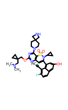 C#Cc1c(F)ccc2cc(O)cc(C3=C(F)c4nc(OCC5(CN(C)C)CC5)nc(N5CCC6(CC5)CNC6)c4S(=O)(=O)N3C3CC3)c12